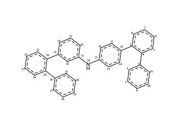 c1ccc(-c2ccccc2-c2ccc(Nc3cccc(-c4ccccc4-c4ccccc4)c3)cc2)cc1